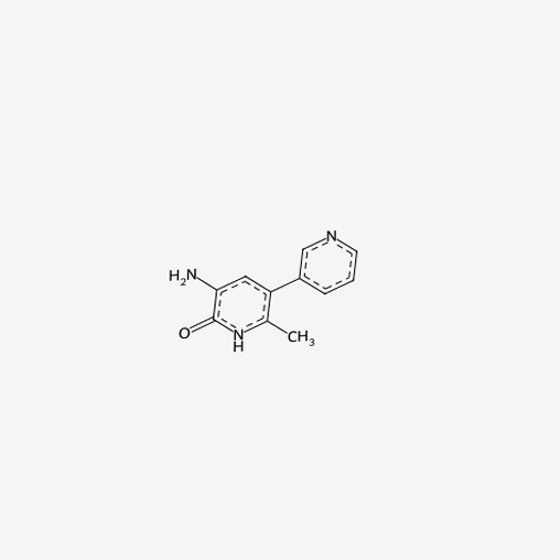 Cc1[nH]c(=O)c(N)cc1-c1cccnc1